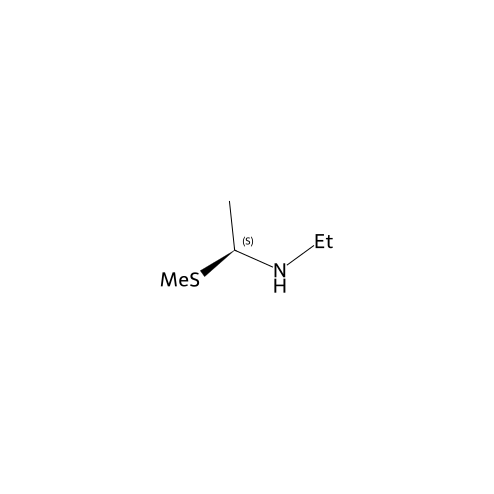 CCN[C@H](C)SC